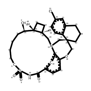 C[C@@H]1CCCCCS(=O)(=O)NC(=O)c2ccc3c(c2)N(C[C@@H]2CC[C@H]21)C[C@@]1(CCCc2cc(Cl)ccc21)CO3